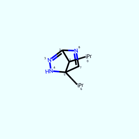 CC(C)C1C2=NNC1(C(C)C)C=N2